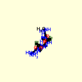 CC(=N)NCCCCC(=O)Nc1cc(C(F)(F)F)cc(NC(=O)c2cc(C(=O)Nc3cc(C(F)(F)F)cc(NC(=O)CCCCNC(=N)N)c3OC3CCNC3)ncn2)c1O[C@H]1CCNC1